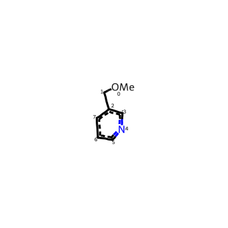 COCc1[c]nccc1